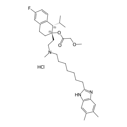 COCC(=O)O[C@]1(CCN(C)CCCCCCCc2nc3cc(C)c(C)cc3[nH]2)CCc2cc(F)ccc2[C@@H]1C(C)C.Cl